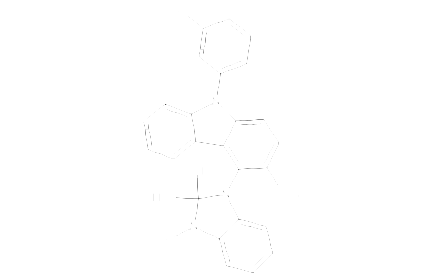 Cc1cccc(-n2c3ccccc3c3c(N4c5ccccc5N(C)C4(C)C)c(C)ccc32)c1